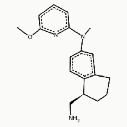 COc1cccc(N(C)c2ccc3c(c2)CCC[C@H]3CN)n1